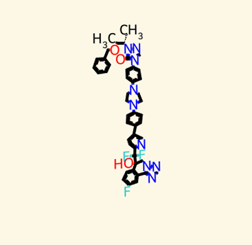 CC[C@@H]([C@H](C)OCc1ccccc1)n1ncn(-c2ccc(N3CCN(c4ccc(-c5ccc(C(F)(F)C6(O)Cn7ncnc7-c7cc(F)ccc76)nc5)cc4)CC3)cc2)c1=O